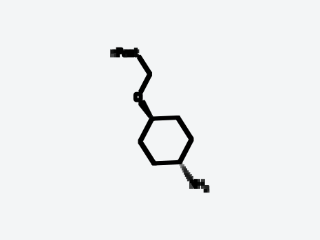 CCCCCCO[C@H]1CC[C@H](N)CC1